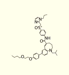 CCCCOCCOc1ccc(-c2ccc3c(c2)C=C(C(=O)Nc2ccc([S+]([O-])Cc4nccn4CCC)cc2)CCCN3CC(C)C)cc1